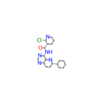 O=C(Nc1ncnc2ccc(-c3ccccc3)nc12)c1cccnc1Cl